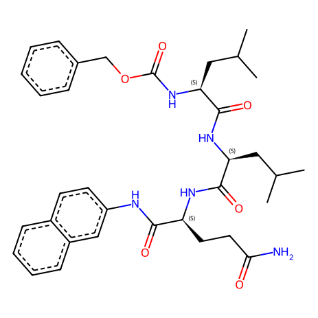 CC(C)C[C@H](NC(=O)OCc1ccccc1)C(=O)N[C@@H](CC(C)C)C(=O)N[C@@H](CCC(N)=O)C(=O)Nc1ccc2ccccc2c1